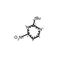 CC(C)(C)c1nccc([N+](=O)[O-])n1